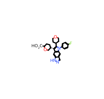 O=C(O)[C@H]1CC[C@H](c2c(C3CCOCC3)n(-c3ccc(F)cc3)c3cc4cn[nH]c4cc23)CO1